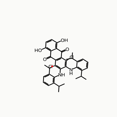 CC(C)c1cccc(C(C)C)c1Nc1c(Cl)c2c(c(Cl)c1Nc1c(C(C)C)cccc1C(C)C)C(=O)c1c(O)ccc(O)c1C2=O